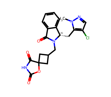 Cn1ncc(Cl)c1C[C@H]1c2ccccc2C(=O)N1CC1CC2(C1)OC(=O)NC2=O